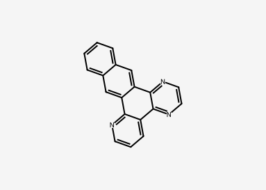 c1ccc2cc3c(cc2c1)c1ncccc1c1nccnc31